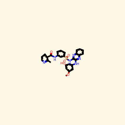 COc1cc(O)cc(Nc2nc3ccccc3nc2NS(=O)(=O)c2cccc(NC(=O)c3cccnc3C)c2)c1